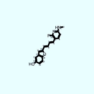 CNc1ccc(C=CC=Cc2cc3cc(O)ccc3o2)c(F)n1